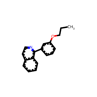 CCCOc1cccc(-c2nccc3ccccc23)c1